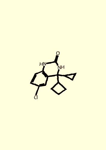 O=C1Nc2ccc(Cl)cc2C(C2CCC2)(C2CC2)N1